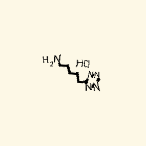 Cl.NCCCCCc1nncnn1